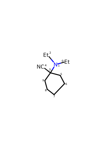 CCN(CC)C1(C#N)CCCCC1